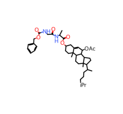 CC(=O)OC1C=C2CC(OC(=O)C(C)NC(=O)CNC(=O)OCc3ccccc3)CCC2(C)C2CCC3(C)C(C(C)CCCC(C)C)CCC3C12